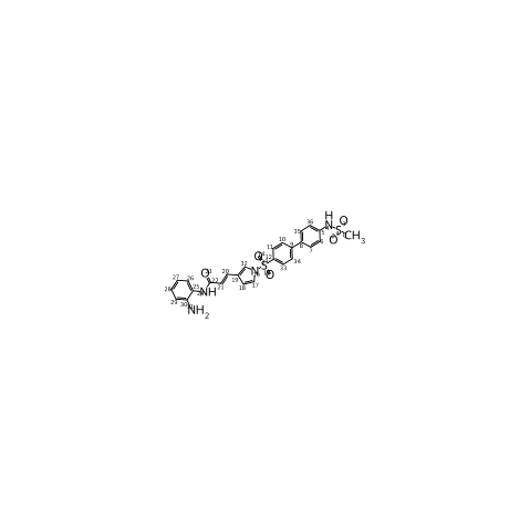 CS(=O)(=O)Nc1ccc(-c2ccc(S(=O)(=O)n3ccc(/C=C/C(=O)Nc4ccccc4N)c3)cc2)cc1